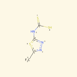 FC(F)(F)c1nnc(NC(=S)S)s1